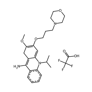 COC1=C(OCCCN2CCOCC2)C=C2C(=C(N)c3ccccc3N2C(C)C)C1.O=C(O)C(F)(F)F